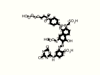 O=S(=O)(O)CNc1ccc2c(O)c(/N=N/c3cc(Nc4nc(Cl)nc(Cl)n4)ccc3S(=O)(=O)O)c(SOOO)cc2c1/N=N/c1ccc(S(=O)(=O)CCOSOOO)cc1